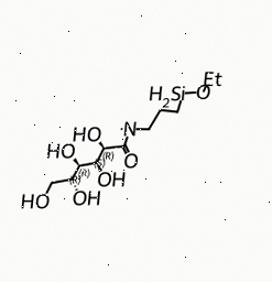 CCO[SiH2]CCC[N]C(=O)[C@H](O)[C@@H](O)[C@H](O)[C@H](O)CO